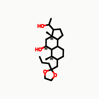 CCCC1(CC2CCC3C([C@@H]2C)[C@@H](O)C[C@]2(C)C(C(C)O)CCC32)OCCO1